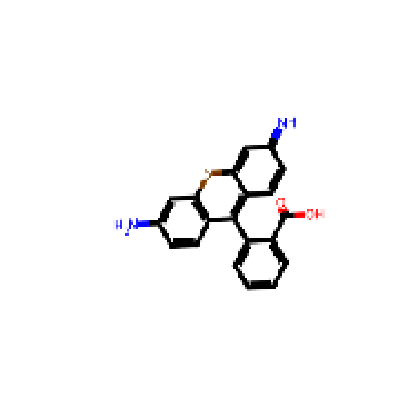 N=c1ccc2c(-c3ccccc3C(=O)O)c3ccc(N)cc3sc-2c1